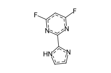 Fc1cc(F)nc(-c2ncc[nH]2)n1